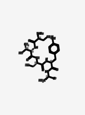 CC(=O)N[C@@H](CC(=O)O)C(=O)N[C@H](C(=O)N[C@@H](CO)C(=O)N[C@@H](Cc1ccc(O)cc1)C(=O)N[C@H](C(=O)O)C(C)C)[C@@H](C)O